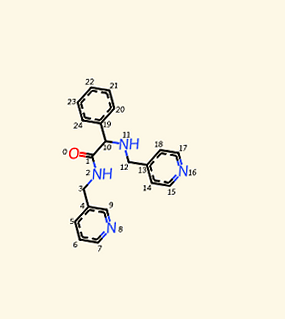 O=C(NCc1cccnc1)C(NCc1ccncc1)c1ccccc1